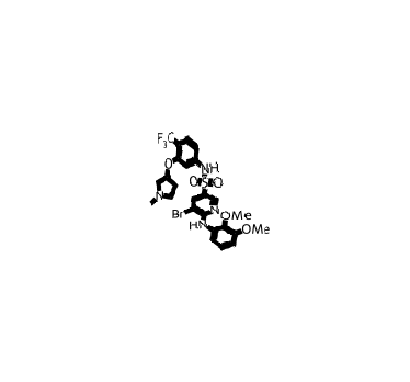 COc1cccc(Nc2ncc(S(=O)(=O)Nc3ccc(C(F)(F)F)c(OC4CCN(C)C4)c3)cc2Br)c1OC